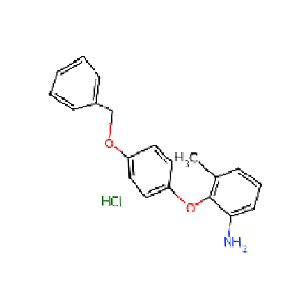 Cc1cccc(N)c1Oc1ccc(OCc2ccccc2)cc1.Cl